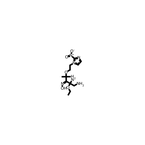 CCOC(N)(CN)C(=NO)C(C)(C)OCCn1ccnc1[N+](=O)[O-]